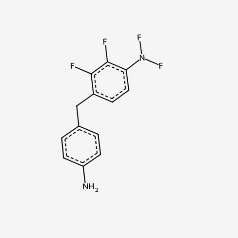 Nc1ccc(Cc2ccc(N(F)F)c(F)c2F)cc1